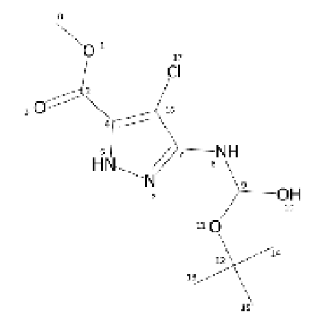 COC(=O)c1[nH]nc(NC(O)OC(C)(C)C)c1Cl